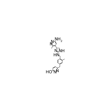 Cc1cc(Cc2ccc(O)nn2)ccc1CNC1=NC(c2cc(N)nnc2C)CN1